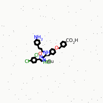 CCCCn1cc(-c2ccc(Cl)cc2Cl)nc1[C@H](Cc1ccc(OCc2ccc(C(=O)O)cc2)cc1)NC(=O)C=Cc1ccc(N)cc1.Cl